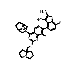 N#Cc1c(N)sc2c(F)ccc(-c3ncc4c(N5CC6CCC(C5)N6)nc(OCC56CCCN5CCC6)nc4c3F)c12